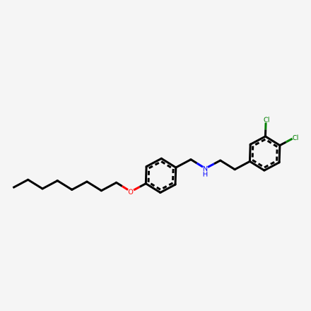 CCCCCCCCOc1ccc(CNCCc2ccc(Cl)c(Cl)c2)cc1